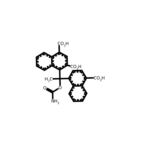 CC(OC(N)=O)(c1ccc(C(=O)O)c2ccccc12)c1c(C(=O)O)cc(C(=O)O)c2ccccc12